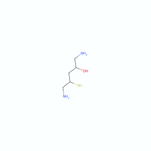 NCC(O)CC(S)CN